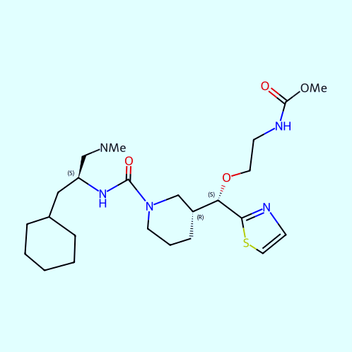 CNC[C@H](CC1CCCCC1)NC(=O)N1CCC[C@@H]([C@H](OCCNC(=O)OC)c2nccs2)C1